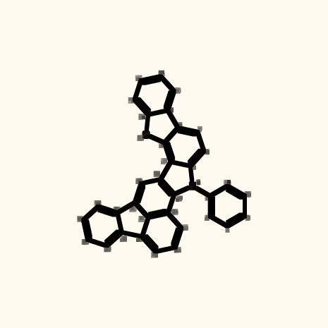 c1ccc(-n2c3ccc4c5ccccc5oc4c3c3cc4c5c(cccc5c32)-c2ccccc2-4)cc1